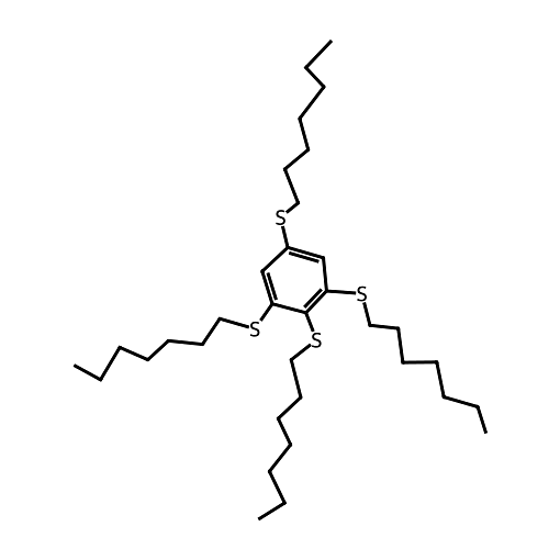 CCCCCCCSc1cc(SCCCCCCC)c(SCCCCCCC)c(SCCCCCCC)c1